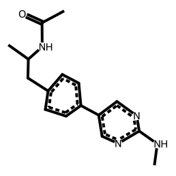 CNc1ncc(-c2ccc(CC(C)NC(C)=O)cc2)cn1